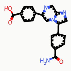 NC(=O)c1ccc(-c2cnc3cnc(-c4ccc(C(=O)O)cc4)cn23)cc1